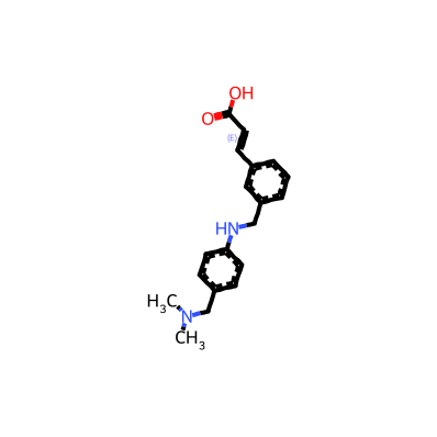 CN(C)Cc1ccc(NCc2cccc(/C=C/C(=O)O)c2)cc1